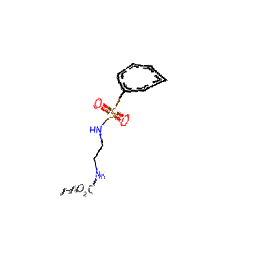 O=C(O)NCCNS(=O)(=O)c1ccccc1